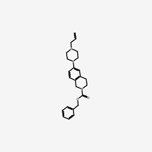 C=CCN1CCN(c2ccc3c(c2)CCN(C(=O)OCc2ccccc2)C3)CC1